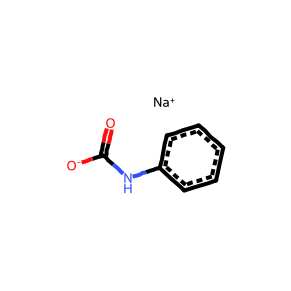 O=C([O-])Nc1ccccc1.[Na+]